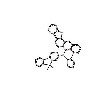 CC1(C)c2ccccc2-c2ccc(N(c3ccccc3-c3ccccc3)c3cccc4c3ccc3c5ccccc5sc43)cc21